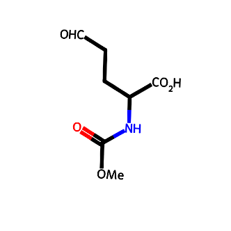 COC(=O)NC(CCC=O)C(=O)O